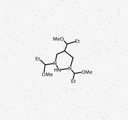 CCC(OC)C1CN(C(CC)OC)NN(C(CC)OC)C1